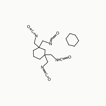 C1CCCCC1.O=C=NCC1(CN=C=O)CCCC(CN=C=O)(CN=C=O)C1